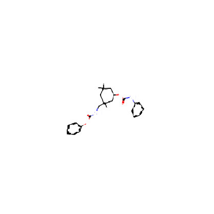 CC1(C)CC(OC(=O)Nc2ccccc2)CC(C)(CNC(=O)Oc2ccccc2)C1